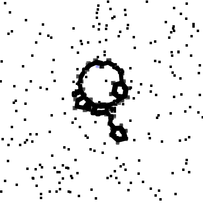 O=C(OCc1ccccc1)[C@@H]1Cc2ccc(cc2)OCC/C=C/CCCCC(=O)N2CCC[C@H]2C(=O)N1